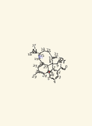 C=Cc1ccccc1C1(CC(C)C)C(=C)CC/C(N(C)C)=C\C2=CC(C)=CC(C)C21